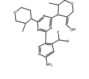 CC1COCCN1c1nc(-c2cnc(N)cc2C(F)F)nc(N2/C(=C/O)COCC2C)n1